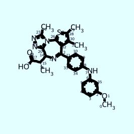 COc1cccc(Nc2ccc(C3=NC([C@H](C)C(=O)O)c4nnc(C)n4-c4sc(C)c(C)c43)cc2)c1